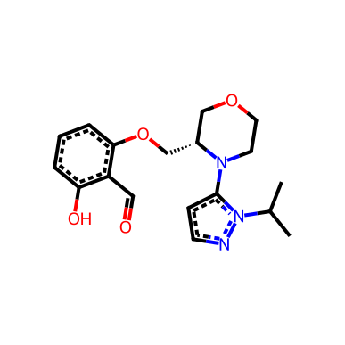 CC(C)n1nccc1N1CCOC[C@H]1COc1cccc(O)c1C=O